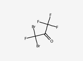 O=C(C(F)(F)F)C(F)(Br)Br